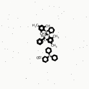 C1CCC(P(C2CCCCC2)C2CCCCC2)CC1.Cc1cc(C)c(N2[C](=[Ru+2]=[CH]c3ccccc3)N(c3c(C)cc(C)cc3C)C3CCCCC32)c(C)c1.[Cl-].[Cl-]